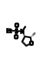 CCS(=O)(=O)N(C)[C@H]1CCO[C@H]1C